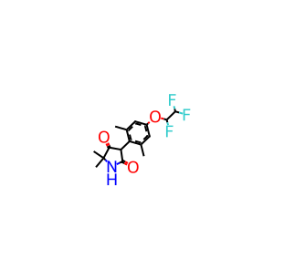 Cc1cc(OC(F)C(F)F)cc(C)c1C1C(=O)NC(C)(C)C1=O